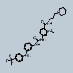 COc1cc(NC(=O)Nc2cccc(Nc3ccc(C(F)(F)F)cc3)c2)ccc1C(=O)NCCCN1CCCCC1